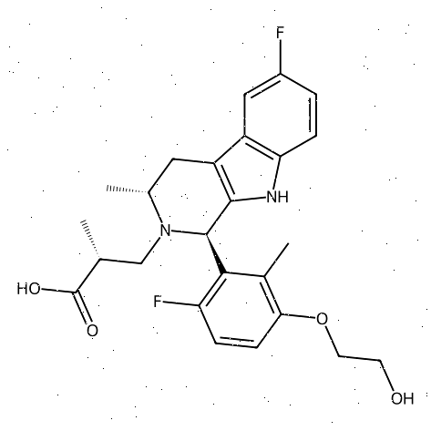 Cc1c(OCCO)ccc(F)c1[C@@H]1c2[nH]c3ccc(F)cc3c2C[C@@H](C)N1C[C@@H](C)C(=O)O